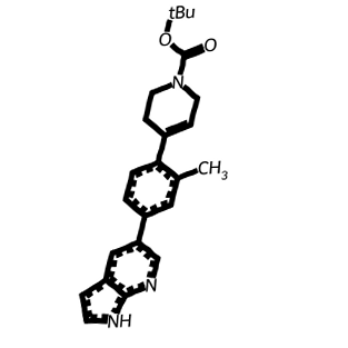 Cc1cc(-c2cnc3[nH]ccc3c2)ccc1C1=CCN(C(=O)OC(C)(C)C)CC1